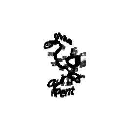 CCCCCC(=O)/C=C/[C@@H]1[C@@H]2C[C@@](c3ccc(F)cc3)(CO2)[C@H]1C/C=C\CCCC(=O)OC